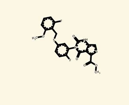 COC(=O)c1scc2[nH]c(=O)n(-c3cc(SCc4c(F)cccc4OC)ccc3F)c(=O)c12